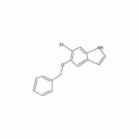 CCc1cc2[nH]ccc2cc1OCc1ccccc1